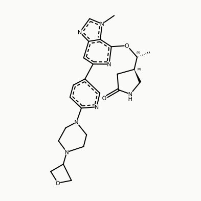 C[C@@H](Oc1nc(-c2ccc(N3CCN(C4COC4)CC3)nc2)cc2ncn(C)c12)[C@H]1CNC(=O)C1